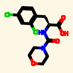 O=C(O)[C@@H](Cc1ccc(Cl)cc1Cl)NC(=O)N1CCOCC1